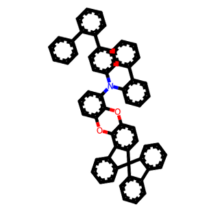 c1ccc(-c2ccccc2-c2ccc(N(c3ccccc3-c3ccccc3)c3cccc4c3Oc3ccc5c(c3O4)-c3ccccc3C53c4ccccc4-c4ccccc43)cc2)cc1